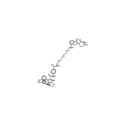 O=C1CCC(N2Cc3c(NCCOCCOCCOCCNC(=O)c4ccc(NC(=O)[C@@H]5NC6(CCCCC6)[C@@]6(C(=O)Nc7cc(Cl)ccc76)[C@H]5c5cccc(Cl)c5F)cc4)cccc3C2=O)C(=O)N1